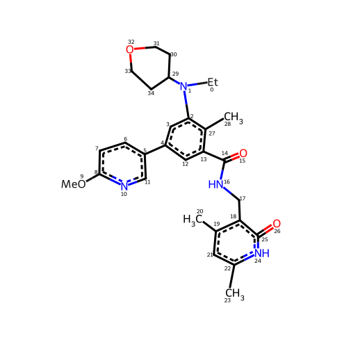 CCN(c1cc(-c2ccc(OC)nc2)cc(C(=O)NCc2c(C)cc(C)[nH]c2=O)c1C)C1CCOCC1